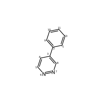 [c]1[c]c(-c2ccnnc2)ccc1